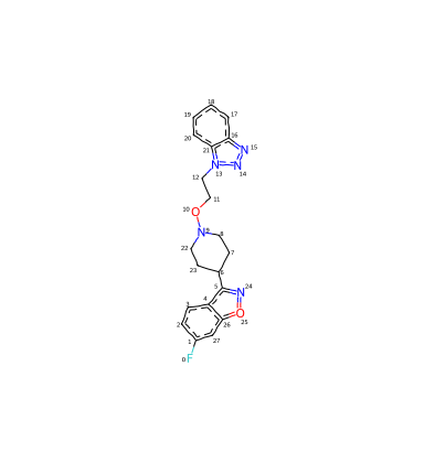 Fc1ccc2c(C3CCN(OCCn4nnc5ccccc54)CC3)noc2c1